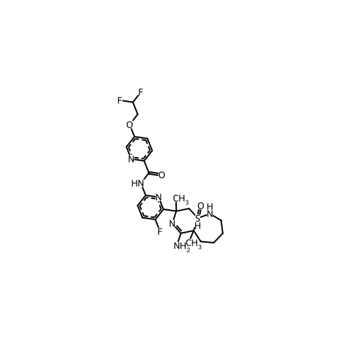 CC1(c2nc(NC(=O)c3ccc(OCC(F)F)cn3)ccc2F)C[SH]2(=O)NCCCCC2(C)C(N)=N1